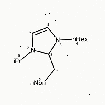 CCCCCCCCCCC1N(CCCCCC)C=CN1C(C)C